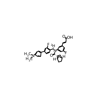 [2H][C@@H](c1ccc(-c2ccc(N(C)C)cc2)cc1F)N(C(=O)[C@@H]1C[C@H]2CC[C@@H]1C2)c1cc(F)cc(/C=C/C(=O)O)c1